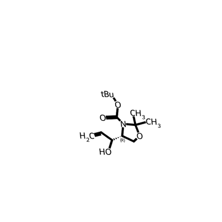 C=CC(O)[C@H]1COC(C)(C)N1C(=O)OC(C)(C)C